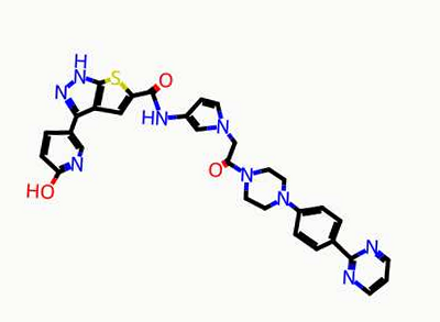 O=C(Nc1ccn(CC(=O)N2CCN(c3ccc(-c4ncccn4)cc3)CC2)c1)c1cc2c(-c3ccc(O)nc3)n[nH]c2s1